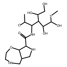 CSC(O)C(O)C(C(O)CO)C(NC(=O)C1NCC2CNCCOC21)C(C)Cl